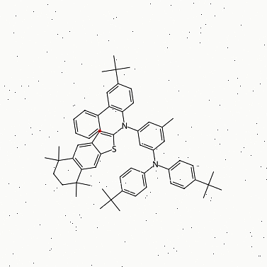 Cc1cc(N(c2ccc(C(C)(C)C)cc2)c2ccc(C(C)(C)C)cc2)cc(N(c2cc3cc4c(cc3s2)C(C)(C)CCC4(C)C)c2ccc(C(C)(C)C)cc2-c2ccccc2)c1